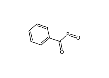 O=PC(=O)c1ccccc1